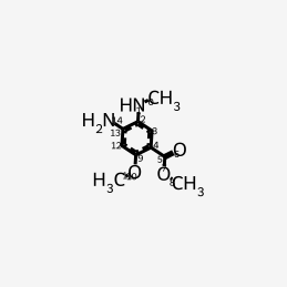 CNc1cc(C(=O)OC)c(OC)cc1N